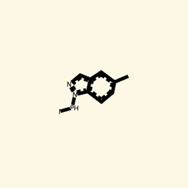 Cc1ccc2c(cnn2PI)c1